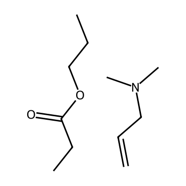 C=CCN(C)C.CCCOC(=O)CC